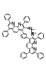 [C-]#[N+]c1c(-c2ccccc2)nc2c(ccc3c(-c4ccccc4)cc(-c4ccccc4)nc32)c1-c1csc(-c2c(C#N)c(-c3ccccc3)nc3c2ccc2c(-c4ccccc4)cc(-c4ccccc4)nc23)c1